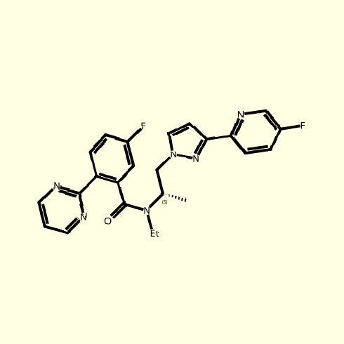 CCN(C(=O)c1cc(F)ccc1-c1ncccn1)[C@@H](C)Cn1ccc(-c2ccc(F)cn2)n1